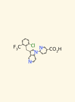 O=C(O)c1ccc(-n2cc(Cc3c(Cl)cccc3C(F)(F)F)c3cnccc32)nc1